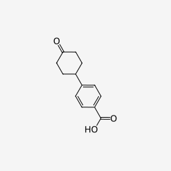 O=C1CCC(c2ccc(C(=O)O)cc2)CC1